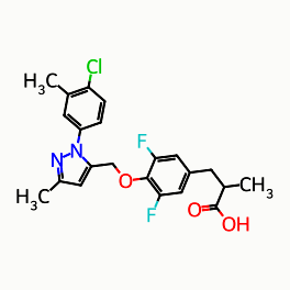 Cc1cc(COc2c(F)cc(CC(C)C(=O)O)cc2F)n(-c2ccc(Cl)c(C)c2)n1